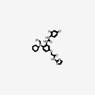 CC(C)CN(c1ccc(OCC(=O)Nc2nccs2)cc1NC(=O)Nc1ccc(Cl)cc1F)C1CCCCC1